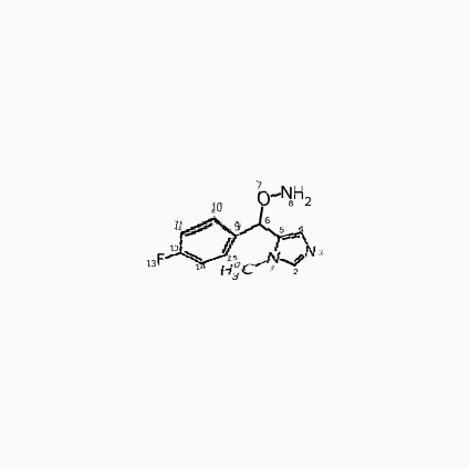 Cn1cncc1C(ON)c1ccc(F)cc1